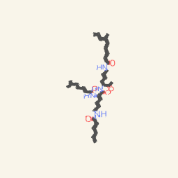 CCCCCC(=O)NCCCCC(NC(=O)CCCCC(C)C)C(=O)NC(CCCCNC(=O)CCCCC(C)CCC)C(C)=O